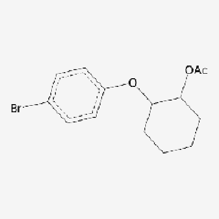 CC(=O)OC1CCCCC1Oc1ccc(Br)cc1